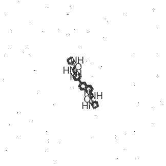 O=C(Nc1ccc2cc(-c3cnc(NC(=O)[C@@H]4CCCN4)nc3)ccc2n1)[C@@H]1CCCN1